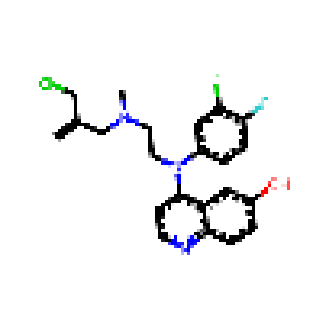 C=C(CCl)CN(C)CCN(c1ccc(F)c(Cl)c1)c1ccnc2ccc(O)cc12